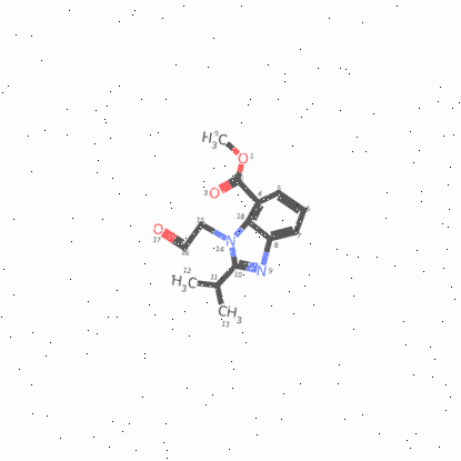 COC(=O)c1cccc2nc(C(C)C)n(CC=O)c12